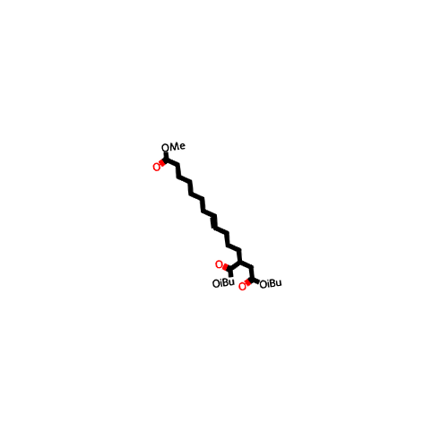 COC(=O)CCCCCC/C=C/CCCC(CC(=O)OCC(C)C)C(=O)OCC(C)C